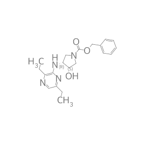 CCc1cnc(CC)c(N[C@@H]2CN(C(=O)OCc3ccccc3)C[C@@H]2O)n1